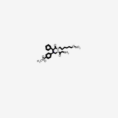 CS(=O)(=O)c1ccc(/C(COC(=O)CN)=C(/C(=O)OCCCCCCO[N+](=O)[O-])c2ccccc2)cc1